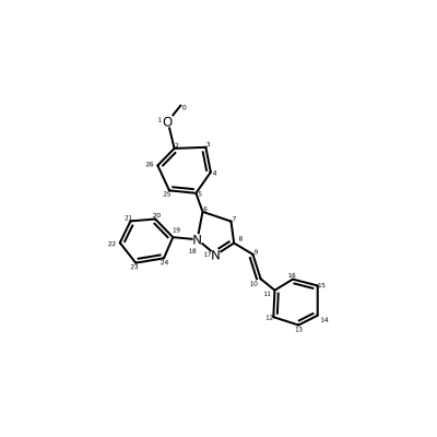 COc1ccc(C2CC(C=Cc3ccccc3)=NN2c2ccccc2)cc1